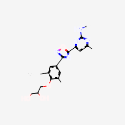 COc1cc(-c2noc(-c3cc(C)nc(NC(C)C)n3)n2)cc(C)c1OCC(O)CO